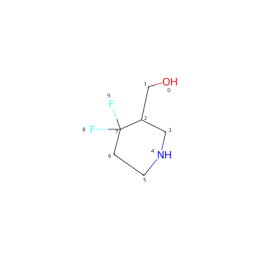 OCC1CNCCC1(F)F